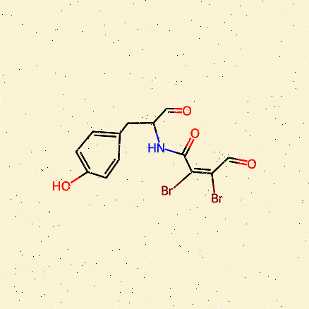 O=C/C(Br)=C(/Br)C(=O)NC(C=O)Cc1ccc(O)cc1